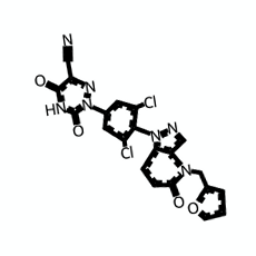 N#Cc1nn(-c2cc(Cl)c(-n3ncc4c3ccc(=O)n4Cc3ccco3)c(Cl)c2)c(=O)[nH]c1=O